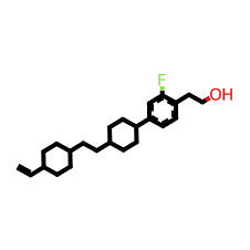 C=CC1CCC(CCC2CCC(c3ccc(CCO)c(F)c3)CC2)CC1